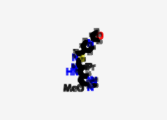 COc1cc(-c2[nH]nc(-c3ncc(C4CCN(C5CCOC5)CC4)s3)c2C(C)C)cn2ncnc12